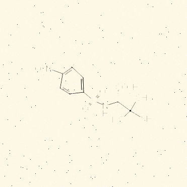 CC(C)(S)[C@H](NS(=O)(=O)c1ccc([N+](=O)[O-])cc1)C(=O)O